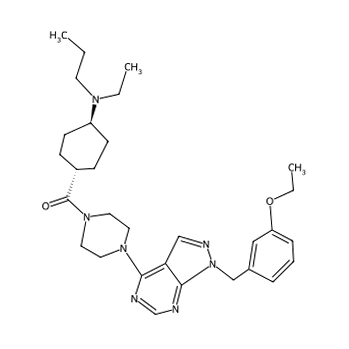 CCCN(CC)[C@H]1CC[C@H](C(=O)N2CCN(c3ncnc4c3cnn4Cc3cccc(OCC)c3)CC2)CC1